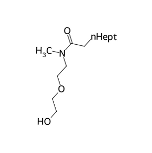 CCCCCCCCC(=O)N(C)CCOCCO